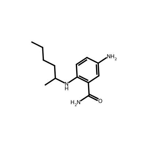 CCCCC(C)Nc1ccc(N)cc1C(N)=O